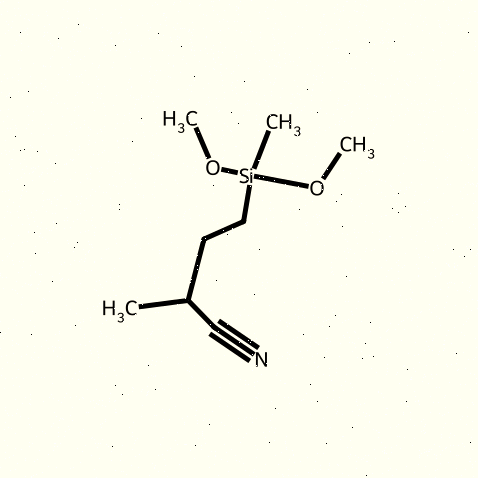 CO[Si](C)(CCC(C)C#N)OC